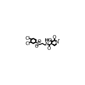 Cn1ccc(C(=O)NCCCS(=O)(=O)c2ccc(Cl)c(Cl)c2)c(O)c1=O